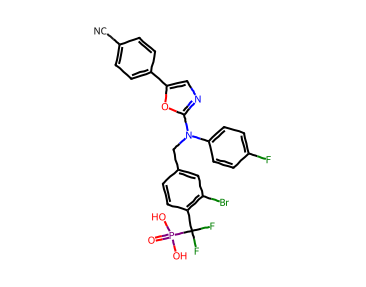 N#Cc1ccc(-c2cnc(N(Cc3ccc(C(F)(F)P(=O)(O)O)c(Br)c3)c3ccc(F)cc3)o2)cc1